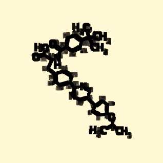 CC(C)Oc1ccc(-c2cnc(-c3ccc(CC(NC(=O)c4ccc(C(C)(C)C)cc4)C(=O)O)cc3)nc2)cc1